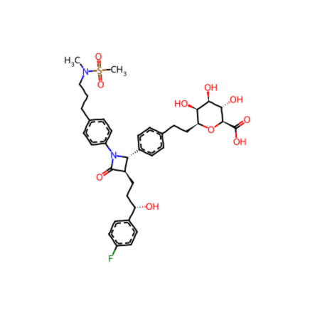 CN(CCCc1ccc(N2C(=O)[C@H](CC[C@H](O)c3ccc(F)cc3)[C@H]2c2ccc(CC[C@@H]3O[C@H](C(=O)O)[C@@H](O)[C@H](O)[C@@H]3O)cc2)cc1)S(C)(=O)=O